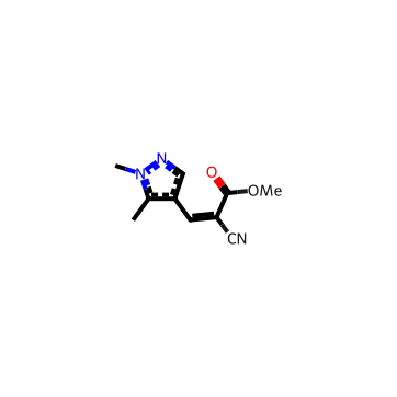 COC(=O)C(C#N)=Cc1cnn(C)c1C